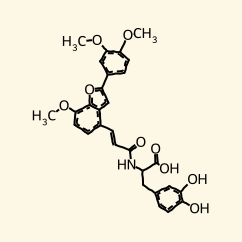 COc1ccc(-c2cc3c(/C=C/C(=O)NC(Cc4ccc(O)c(O)c4)C(=O)O)ccc(OC)c3o2)cc1OC